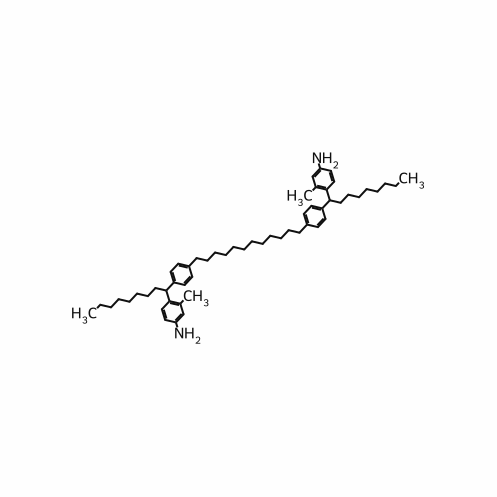 CCCCCCCCC(c1ccc(CCCCCCCCCCCCc2ccc(C(CCCCCCCC)c3ccc(N)cc3C)cc2)cc1)c1ccc(N)cc1C